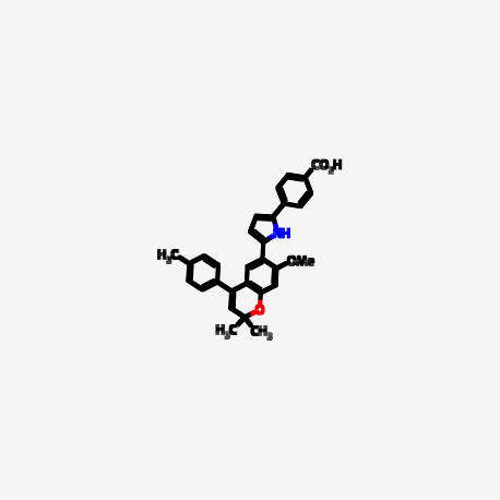 COc1cc2c(cc1-c1ccc(-c3ccc(C(=O)O)cc3)[nH]1)C(c1ccc(C)cc1)=CC(C)(C)O2